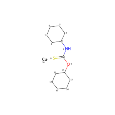 S=C(NC1CCCCC1)OC1CCCCC1.[Cu]